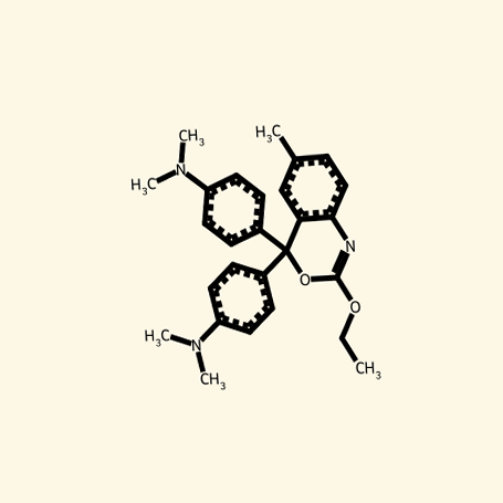 CCOC1=Nc2ccc(C)cc2C(c2ccc(N(C)C)cc2)(c2ccc(N(C)C)cc2)O1